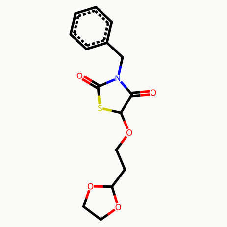 O=C1SC(OCCC2OCCO2)C(=O)N1Cc1ccccc1